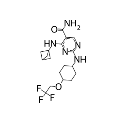 NC(=O)c1cnc(NC2CCC(OCC(F)(F)F)CC2)nc1NC12CC(C1)C2